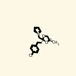 C[C@@H]1CO[C@](CCc2ccc(Cl)cc2)(Cn2cccc2)O1